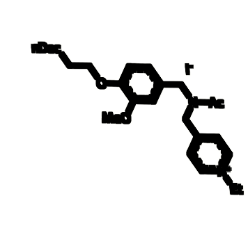 CCCCCCCCCCCCOc1ccc(CN(Cc2cc[n+](CC)cc2)C(C)=O)cc1OC.[I-]